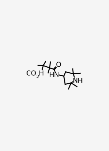 CC1(C)CC(NC(=O)C(C)(C)C(C)(C)C(=O)O)CC(C)(C)N1